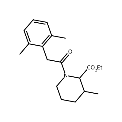 CCOC(=O)C1C(C)CCCN1C(=O)Cc1c(C)cccc1C